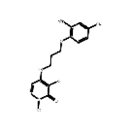 CCCc1cc(C#N)ccc1OCCCNc1cnn(CC)c(=O)c1Br